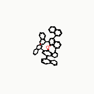 c1ccc2c(-c3cc(-c4cccc5ccccc45)c4oc5c(-c6cccc7ccccc67)cc(-c6cccc7ccccc67)c6cccc(c7cccc3c47)c65)cccc2c1